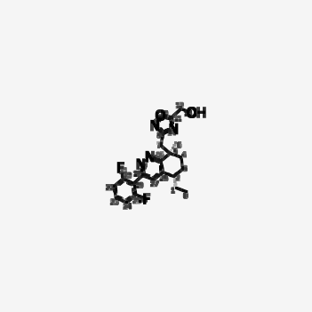 CC[C@H]1CC[C@](C)(Cc2noc(CO)n2)c2nnc(-c3c(F)cccc3F)cc21